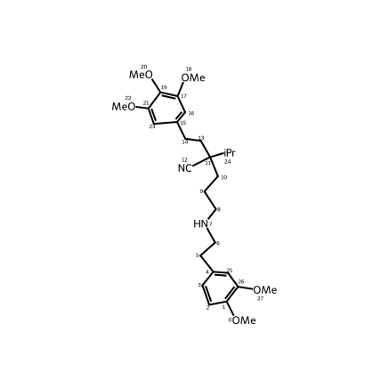 COc1ccc(CCNCCCC(C#N)(CCc2cc(OC)c(OC)c(OC)c2)C(C)C)cc1OC